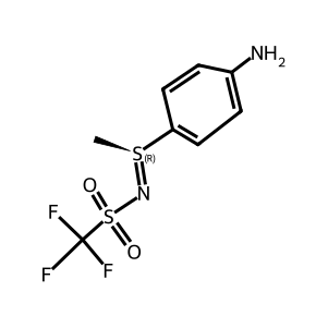 C[S@](=NS(=O)(=O)C(F)(F)F)c1ccc(N)cc1